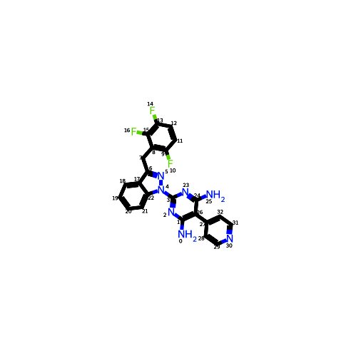 Nc1nc(-n2nc(Cc3c(F)ccc(F)c3F)c3ccccc32)nc(N)c1-c1ccncc1